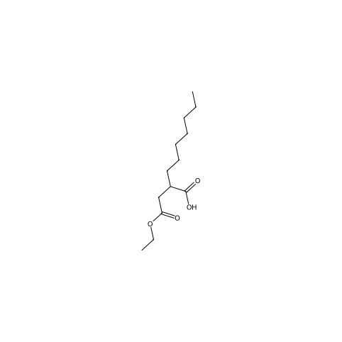 CCCCCCCC(CC(=O)OCC)C(=O)O